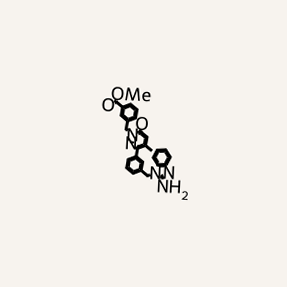 COC(=O)c1cccc(Cn2nc(-c3cccc(Cn4c(N)nc5ccccc54)c3)c(C)cc2=O)c1